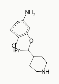 CC(C)C(Oc1cc(N)ccc1Cl)C1CCNCC1